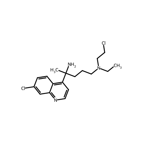 CCN(CCCl)CCCC(C)(N)c1ccnc2cc(Cl)ccc12